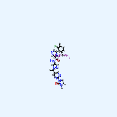 Cc1ccc(C(P)P)c(-c2cncc(C(=O)Nc3cnn(C(C)c4cnc(N5CCN(C)C5=O)nc4)c3)n2)c1F